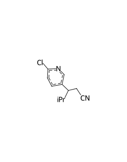 CC(C)C(CC#N)c1ccc(Cl)nc1